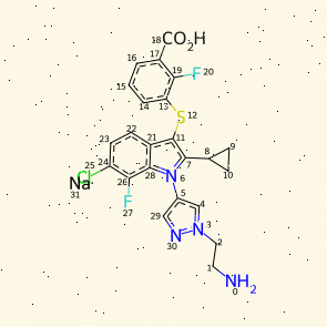 NCCn1cc(-n2c(C3CC3)c(Sc3cccc(C(=O)O)c3F)c3ccc(Cl)c(F)c32)cn1.[Na]